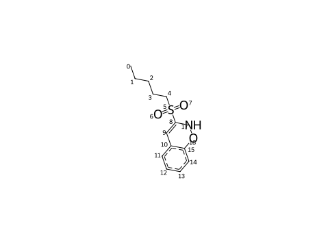 CCCCCS(=O)(=O)C1=Cc2ccccc2ON1